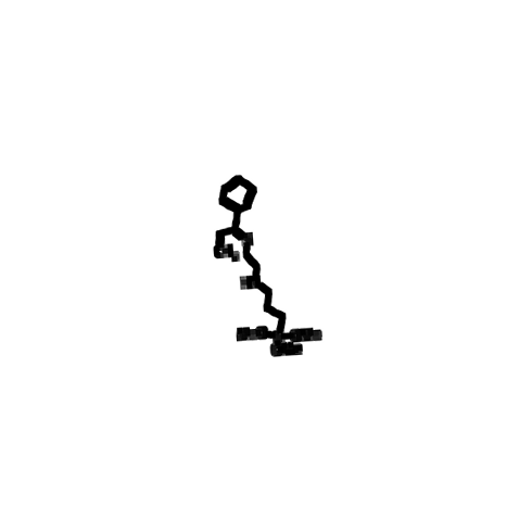 C=CC(=NCCNCCC[Si](OC)(OC)OC)c1ccccc1